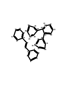 C(=Cc1ccccc1)c1ccccc1.c1cncc(-c2cccnc2-c2cccnc2)c1